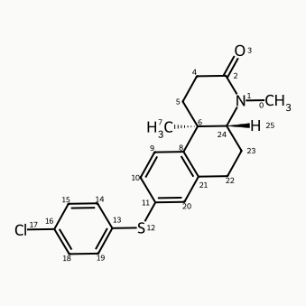 CN1C(=O)CC[C@]2(C)c3ccc(Sc4ccc(Cl)cc4)cc3CC[C@@H]12